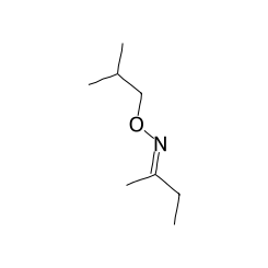 CC/C(C)=N/OCC(C)C